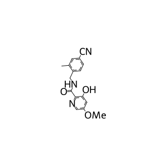 COc1cnc(C(=O)NCc2ccc(C#N)cc2C)c(O)c1